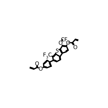 C=CC(=O)Oc1ccc(-c2ccc3c(sc4c(OC(F)(F)F)c(OC(=O)C=C)ccc43)c2C(F)(F)F)cc1